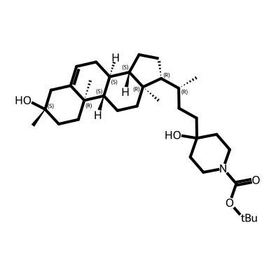 C[C@H](CCC1(O)CCN(C(=O)OC(C)(C)C)CC1)[C@H]1CC[C@H]2[C@@H]3CC=C4C[C@@](C)(O)CC[C@]4(C)[C@H]3CC[C@]12C